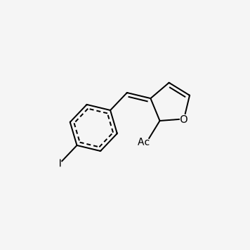 CC(=O)C1OC=CC1=Cc1ccc(I)cc1